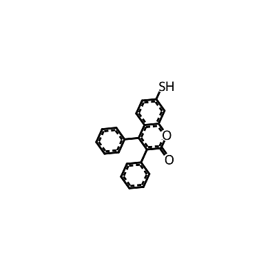 O=c1oc2cc(S)ccc2c(-c2ccccc2)c1-c1ccccc1